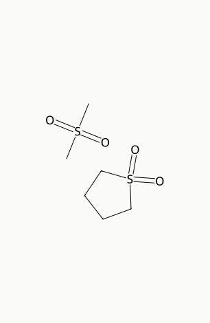 CS(C)(=O)=O.O=S1(=O)CCCC1